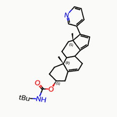 CC(C)(C)NC(=O)O[C@H]1CC[C@@]2(C)C(=CCC3C4=CC=C(c5cccnc5)[C@@]4(C)CCC32)C1